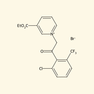 CCOC(=O)c1ccc[n+](CC(=O)c2c(Cl)cccc2C(F)(F)F)c1.[Br-]